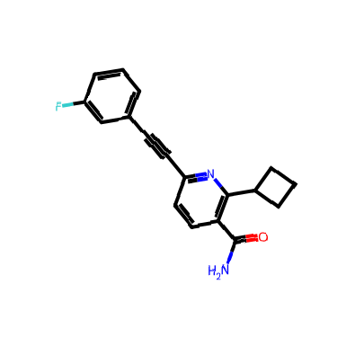 NC(=O)c1ccc(C#Cc2cccc(F)c2)nc1C1CCC1